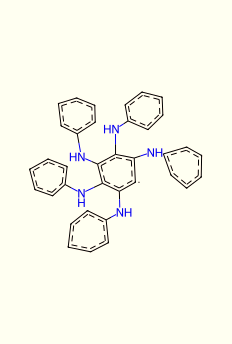 [c]1c(Nc2ccccc2)c(Nc2ccccc2)c(Nc2ccccc2)c(Nc2ccccc2)c1Nc1ccccc1